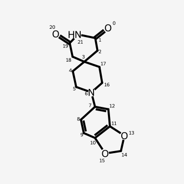 O=C1CC2(CCN(c3ccc4c(c3)OCO4)CC2)CC(=O)N1